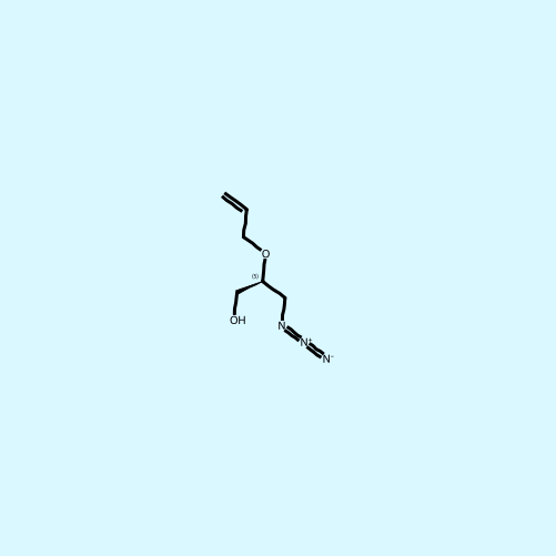 C=CCO[C@H](CO)CN=[N+]=[N-]